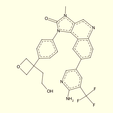 Cn1c(=O)n(-c2ccc(C3(CCO)COC3)cc2)c2c3cc(-c4cnc(N)c(C(F)(F)F)c4)ccc3ncc21